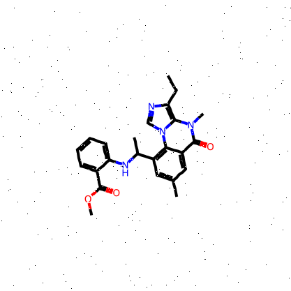 CCc1ncn2c3c(C(C)Nc4ccccc4C(=O)OC)cc(C)cc3c(=O)n(C)c12